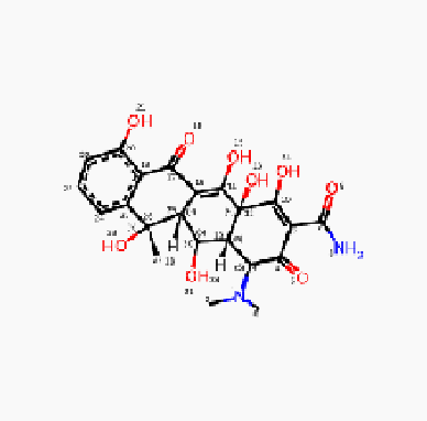 CN(C)[C@@H]1C(=O)C(C(N)=O)=C(O)[C@@]2(O)C(O)=C3C(=O)c4c(O)cccc4[C@@](C)(O)[C@H]3[C@H](O)[C@@H]12